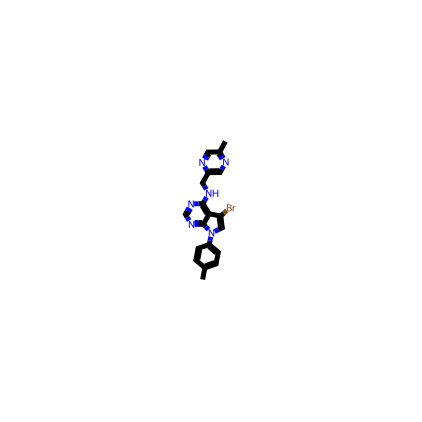 Cc1ccc(-n2cc(Br)c3c(NCc4cnc(C)cn4)ncnc32)cc1